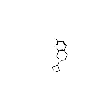 CCOC(=O)c1ccc2c(n1)CN(C1COC1)CC2